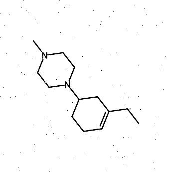 C[CH]C1=CCCC(N2CCN(C)CC2)C1